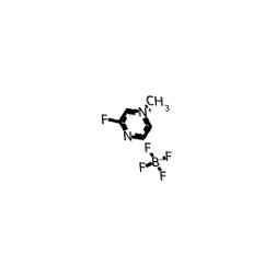 C[n+]1ccnc(F)c1.F[B-](F)(F)F